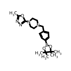 Cc1nnc(N2CCN(Cc3ccc(B4OC(C)(C)C(C)(C)O4)cc3)CC2)o1